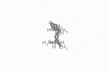 C=CCNc1cc(N2CCN(CC(=O)[C@H]3C(C)C[C@H]4[C@@H]5CCC6=CC(=O)C=C[C@]6(C)[C@H]5C(O)C[C@]34C)CC2)nc(NCC=C)n1